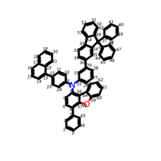 c1ccc(-c2ccc(N(c3ccc(-c4cccc5ccccc45)cc3)c3cccc(-c4ccc5c(c4)C(c4ccccc4)(c4ccccc4)c4ccccc4-5)c3)c3c2oc2ccccc23)cc1